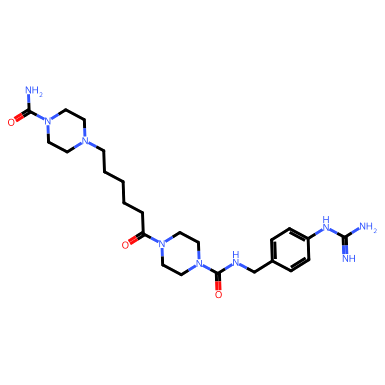 N=C(N)Nc1ccc(CNC(=O)N2CCN(C(=O)CCCCCN3CCN(C(N)=O)CC3)CC2)cc1